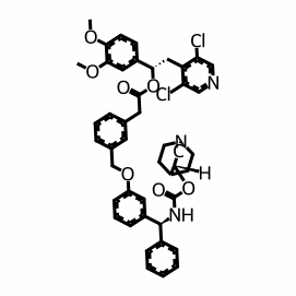 COc1ccc([C@H](Cc2c(Cl)cncc2Cl)OC(=O)Cc2cccc(COc3cccc([C@@H](NC(=O)O[C@H]4CN5CCC4CC5)c4ccccc4)c3)c2)cc1OC